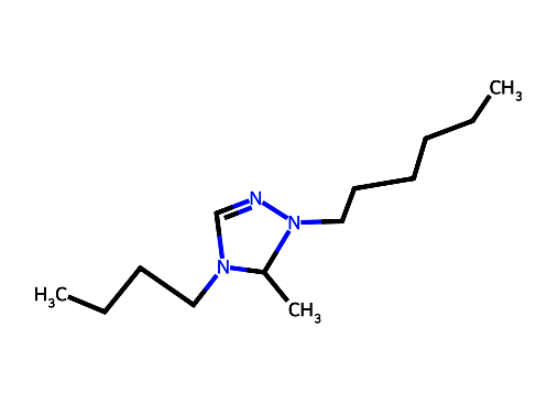 CCCCCCN1N=CN(CCCC)C1C